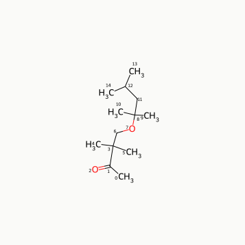 CC(=O)C(C)(C)COC(C)(C)CC(C)C